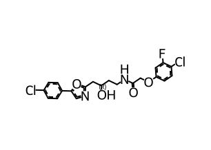 O=C(COc1ccc(Cl)c(F)c1)NCC[C@@H](O)Cc1ncc(-c2ccc(Cl)cc2)o1